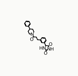 O=C1NC(=O)C(c2cccc(CCC(=O)N3CCC(c4ccccc4)CC3)c2)N1